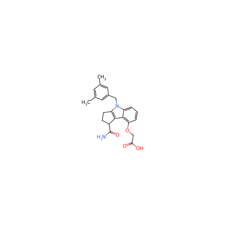 Cc1cc(C)cc(Cn2c3c(c4c(OCC(=O)O)cccc42)C(C(N)=O)CC3)c1